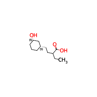 CCC(CC[C@@H]1CCC[C@H](O)C1)C(=O)O